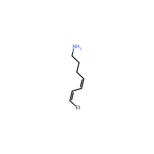 CC/C=C\C=C/CCCN